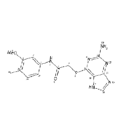 COc1cc(NC(=O)CSc2nc(N)nc3nc[nH]c23)ccc1C